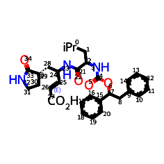 CC(C)CC(NC(=O)OC(Cc1ccccc1)c1ccccc1)C(=O)NC(/C=C/C(=O)O)C[C@@H]1CCNC1=O